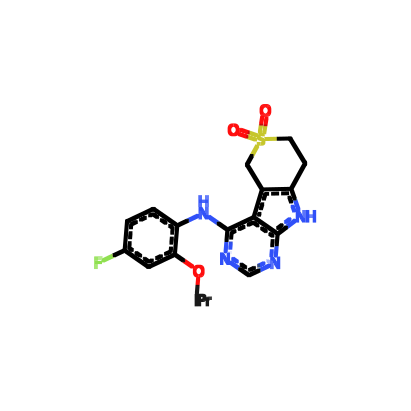 CC(C)Oc1cc(F)ccc1Nc1ncnc2[nH]c3c(c12)CS(=O)(=O)CC3